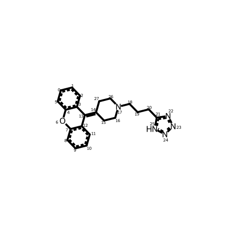 c1ccc2c(c1)Oc1ccccc1C2=C1CCN(CCCc2nnn[nH]2)CC1